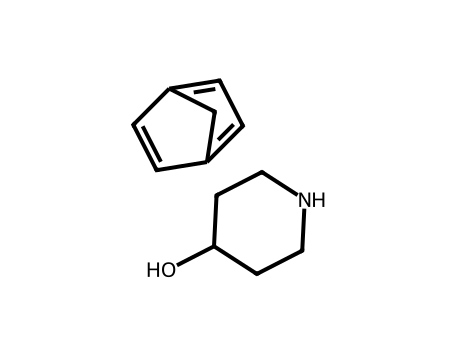 C1=CC2=CC=C1C2.OC1CCNCC1